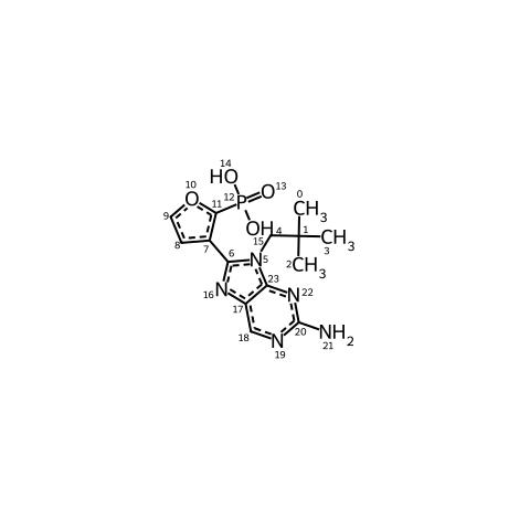 CC(C)(C)Cn1c(-c2ccoc2P(=O)(O)O)nc2cnc(N)nc21